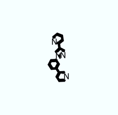 c1ccc(-c2cnn(-c3cccc(-c4cccnc4)c3)c2)nc1